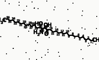 CCCCCCCCCCCCCCCCCC(=O)C(O)C(N)C(O)CCCCCCCCCCCCC